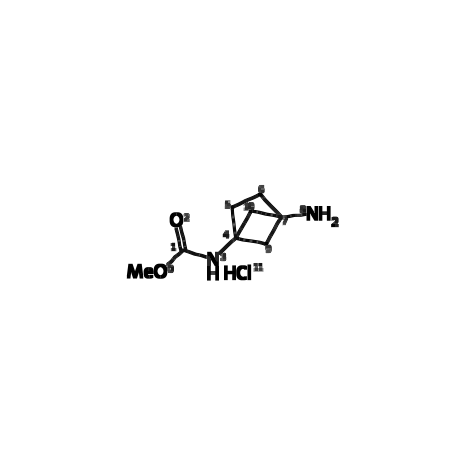 COC(=O)NC12CCC(N)(C1)C2.Cl